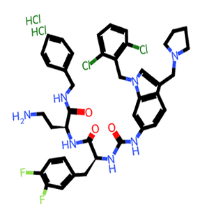 Cl.Cl.NCC[C@H](NC(=O)[C@H](Cc1ccc(F)c(F)c1)NC(=O)Nc1ccc2c(CN3CCCC3)cn(Cc3c(Cl)cccc3Cl)c2c1)C(=O)NCc1ccccc1